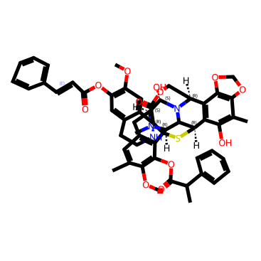 COc1cc2c(cc1OC(=O)/C=C/c1ccccc1)CCN[C@]21CS[C@@H]2c3c(O)c(C)c4c(c3[C@H](COC1=O)N1C2[C@H]2c3c(cc(C)c(OC)c3OC(=O)C(C)c3ccccc3)C[C@@H]([C@@H]1O)N2C)OCO4